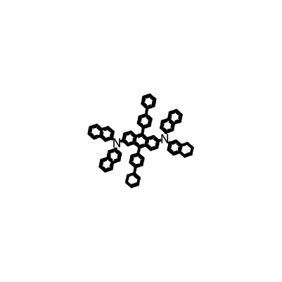 C1=CCCC(c2ccc(-c3c4ccc(N(c5ccc6c(c5)CCC=C6)c5ccc6ccccc6c5)cc4c(-c4ccc(-c5ccccc5)cc4)c4ccc(N(c5ccc6ccccc6c5)c5ccc6ccccc6c5)cc34)cc2)=C1